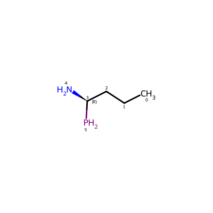 CCC[C@H](N)P